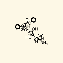 Cc1nc(N)c2ncn([C@H]3C4[C@@H](O)[C@@H](COP(=O)(N[C@@H](C)C(=O)Oc5ccccc5)Oc5ccccc5)OC43O)c2n1